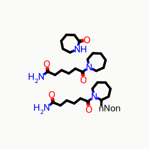 CCCCCCCCCC1CCCCCN1C(=O)CCCCC(N)=O.NC(=O)CCCCC(=O)N1CCCCCC1.O=C1CCCCCN1